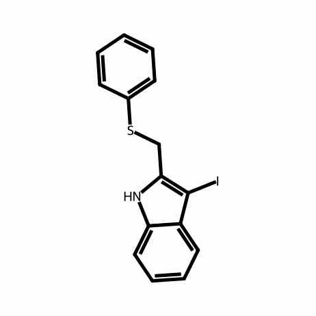 Ic1c(CSc2ccccc2)[nH]c2ccccc12